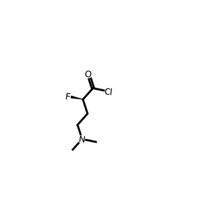 CN(C)CC[C@@H](F)C(=O)Cl